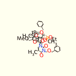 CCOP(C)(=O)C[C@@H](OCc1ccccc1)[C@H]1O[C@@H](n2cc(C)c(=O)n(COCc3ccccc3)c2=O)[C@H](OCCOC)[C@@H]1O[Si](C)(C)C(C)(C)C